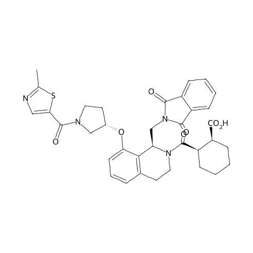 Cc1ncc(C(=O)N2CC[C@H](Oc3cccc4c3[C@@H](CN3C(=O)c5ccccc5C3=O)N(C(=O)[C@@H]3CCCC[C@@H]3C(=O)O)CC4)C2)s1